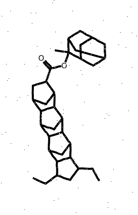 CCC1CC(CC)C2C3CC(C12)C1C2CC(C4C5CC(CC5C(=O)OC5(C)C6CC7CC(C6)CC5C7)C24)C31